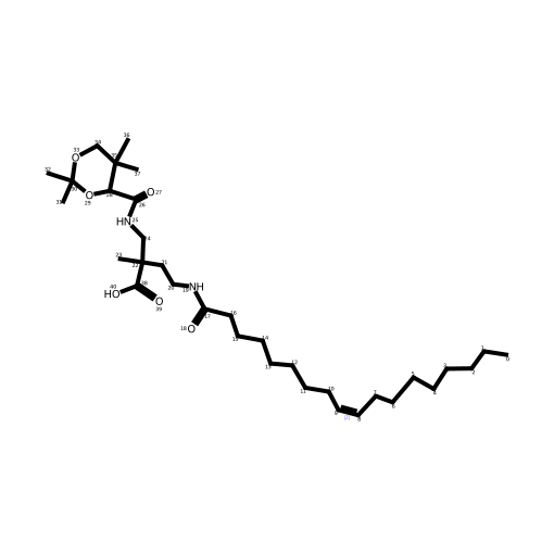 CCCCCCCC/C=C\CCCCCCCC(=O)NCCC(C)(CNC(=O)C1OC(C)(C)OCC1(C)C)C(=O)O